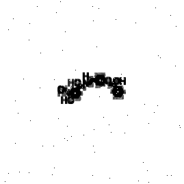 O=CNc1cc([C@@H](O)CNCCc2ccc(OC[C@H](O)c3ccccc3)cc2)ccc1O